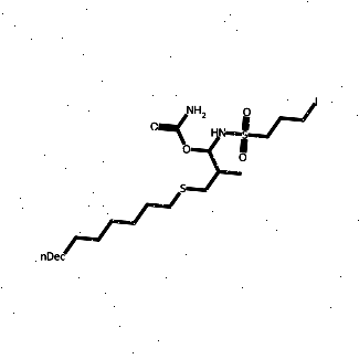 CCCCCCCCCCCCCCCCSCC(C)C(NS(=O)(=O)CCCI)OC(N)=O